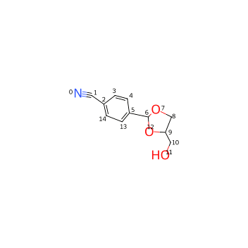 N#Cc1ccc(C2OCC(CO)O2)cc1